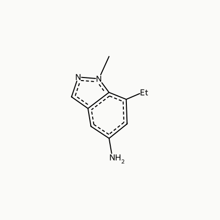 CCc1cc(N)cc2cnn(C)c12